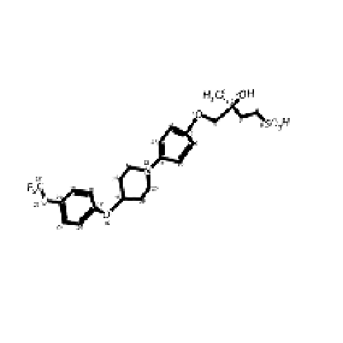 C[C@](O)(CCS(=O)(=O)O)COc1ccc(N2CCC(Oc3ccc(OC(F)(F)F)cc3)CC2)cc1